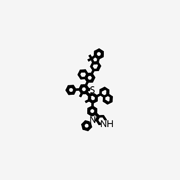 Cc1c(-c2ccccc2)cc(-c2ccc(C3C=CC4=C(C3)C(C)(C)c3ccccc34)c3c2CCC=C3)c2sc3c(C4C=CC=C5C=CC=CC54)cc(-c4ccc5c(c4)c4c(n5-c5ccccc5)CNCC4)c(C)c3c12